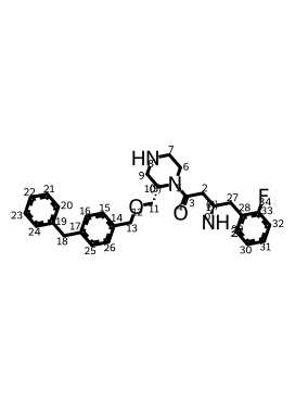 N[C@@H](CC(=O)N1CCNC[C@H]1COCc1ccc(Cc2ccccc2)cc1)Cc1ccccc1F